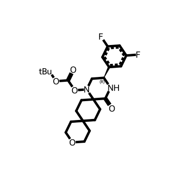 CC(C)(C)OC(=O)ON1C[C@@H](c2cc(F)cc(F)c2)NC(=O)C12CCC1(CCOCC1)CC2